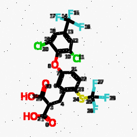 O=C(O)C(Cc1cc(Oc2c(Cl)cc(C(F)(F)F)cc2Cl)ccc1SC(F)(F)F)C(=O)O